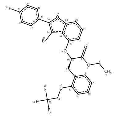 CCOC(=O)[C@@H](Cc1ccccc1OCC(F)(F)F)Oc1cccc2oc(-c3ccc(F)cc3)c(Br)c12